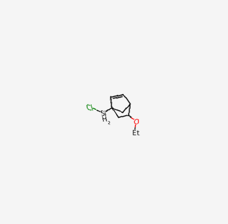 CCOC1CC2([SiH2]Cl)C=CC1C2